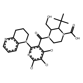 CC(C)(C)C1C(CO)N(C(=O)c2c(N3CCCc4ncccc43)nc(Cl)c(Cl)c2Cl)CCN1C(=O)O